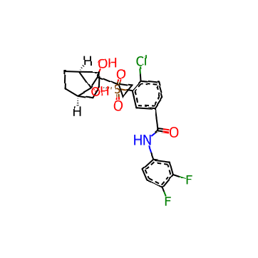 O=C(Nc1ccc(F)c(F)c1)c1ccc(Cl)c(S(=O)(=O)[C@@H]2C[C@H]3CC[C@@H](C2)[C@@]3(O)C(O)C2CC2)c1